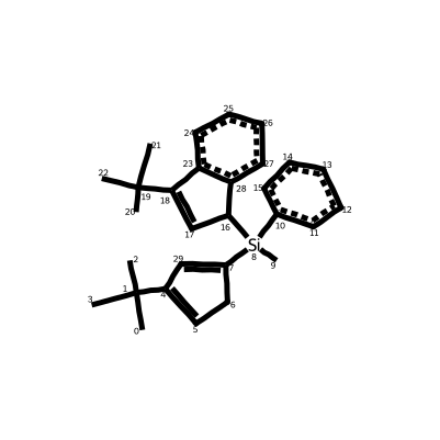 CC(C)(C)C1=CCC([Si](C)(c2ccccc2)C2C=C(C(C)(C)C)c3ccccc32)=C1